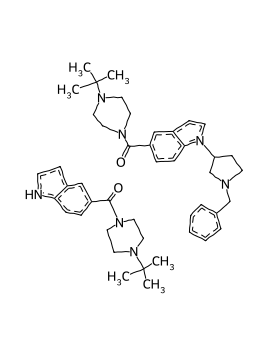 CC(C)(C)N1CCN(C(=O)c2ccc3[nH]ccc3c2)CC1.CC(C)(C)N1CCN(C(=O)c2ccc3c(ccn3C3CCN(Cc4ccccc4)C3)c2)CC1